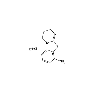 Cl.Cl.Nc1cccc2c1SC1=NCCCN12